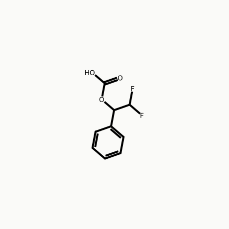 O=C(O)OC(c1ccccc1)C(F)F